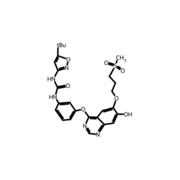 CC(C)(C)c1cc(NC(=O)Nc2cccc(Oc3ncnc4cc(O)c(OCCCS(C)(=O)=O)cc34)c2)no1